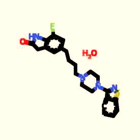 O.O=C1Cc2cc(CCCCN3CCN(c4nsc5ccccc45)CC3)cc(F)c2N1